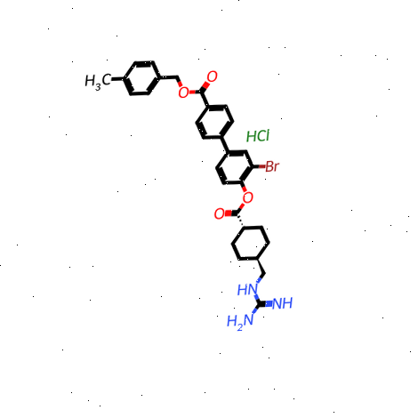 Cc1ccc(COC(=O)c2ccc(-c3ccc(OC(=O)[C@H]4CC[C@H](CNC(=N)N)CC4)c(Br)c3)cc2)cc1.Cl